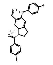 C[C@]12CC(C=N)=C(Nc3ccc(F)cc3)C=C1CC[C@@H]2C(=O)c1ccc(F)cc1